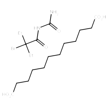 CCC(Br)(CC)C(=O)NC(N)=O.O=C(O)CCCCCCCCCCC(=O)O